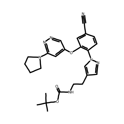 CC(C)(C)OC(=O)NCCc1cnn(-c2ccc(C#N)cc2Oc2cnnc(N3CCCC3)c2)c1